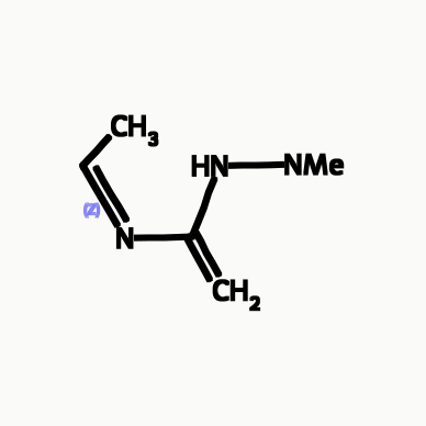 C=C(/N=C\C)NNC